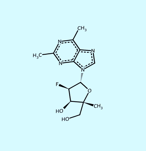 Cc1nc(C)c2ncn([C@@H]3O[C@](C)(CO)[C@@H](O)[C@H]3F)c2n1